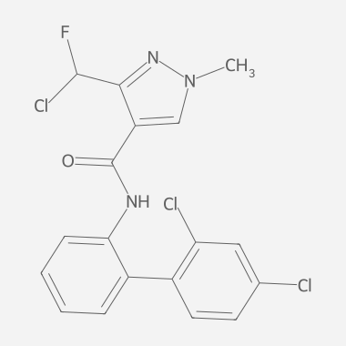 Cn1cc(C(=O)Nc2ccccc2-c2ccc(Cl)cc2Cl)c(C(F)Cl)n1